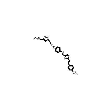 CNCc1cn(CCCCc2ccc(OCc3coc(C=Cc4ccc(C(F)(F)F)cc4)n3)cc2)nn1